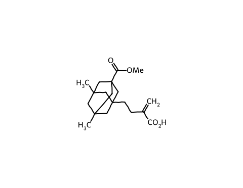 C=C(CCC12CC3(C)CC(C)(C1)CC(C(=O)OC)(C3)C2)C(=O)O